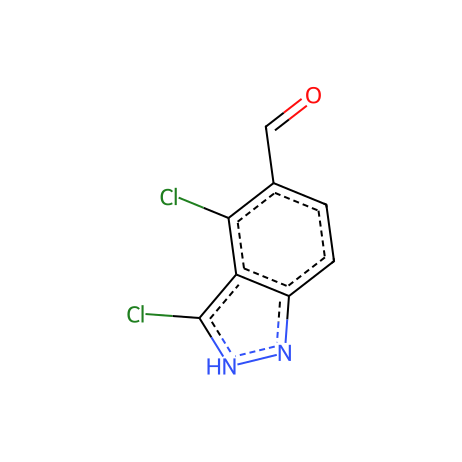 O=Cc1ccc2n[nH]c(Cl)c2c1Cl